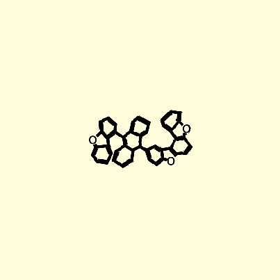 C1=CC2=C(c3cccc4oc5ccccc5c34)c3ccccc3C(c3ccc4oc5ccc6oc7ccccc7c6c5c4c3)C2C=C1